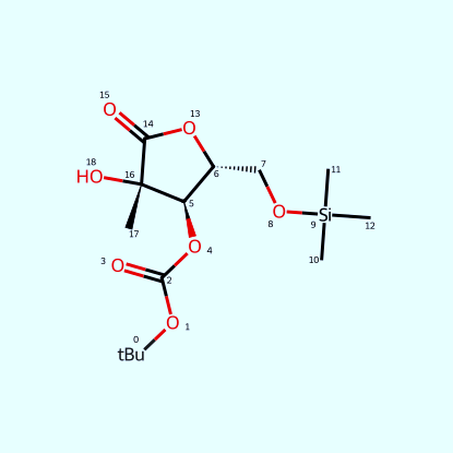 CC(C)(C)OC(=O)O[C@@H]1[C@@H](CO[Si](C)(C)C)OC(=O)[C@@]1(C)O